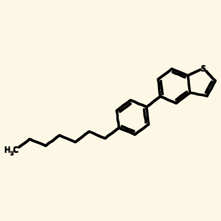 CCCCCCCc1ccc(-c2ccc3sccc3c2)cc1